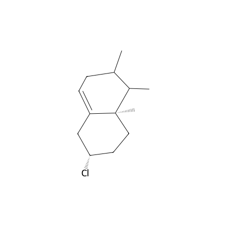 CC1CC=C2C[C@@H](Cl)CC[C@]2(C)C1C